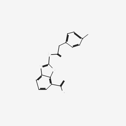 O=C(Cc1ccc(F)cc1)Nc1nc2cccc(C(=O)O)c2[nH]1